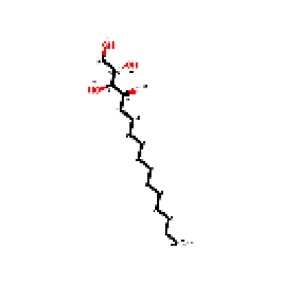 CCCCCCCCCCCCCCCCCCCCCC(=O)C(O)[C@@H](O)CO